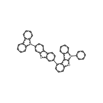 c1ccc(-n2c3ccccc3c3c4c(-c5ccc6c(c5)oc5cc(-n7c8ccccc8c8ccccc87)ccc56)cccc4oc32)cc1